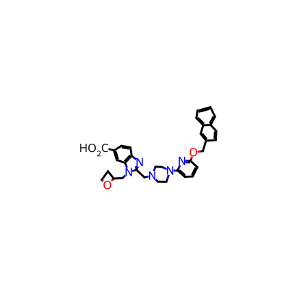 O=C(O)c1ccc2nc(CN3CCN(c4cccc(OCc5ccc6ccccc6c5)n4)CC3)n(CC3CCO3)c2c1